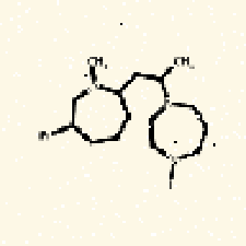 CC(C)C1CCCC(CC(C)N2CCCN(I)CC2)N(C)C1